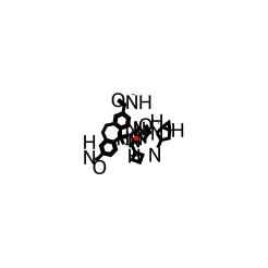 CNC(=O)c1ccc2c(c1)CCc1cc(C(=O)NC)ccc1C2(C[C@H](NCC(=O)N1C(C#N)C[C@@H]2C[C@@H]21)C1CCC1)c1nnn[nH]1